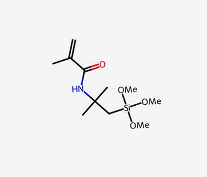 C=C(C)C(=O)NC(C)(C)C[Si](OC)(OC)OC